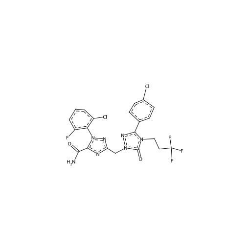 NC(=O)c1nc(Cn2nc(-c3ccc(Cl)cc3)n(CCC(F)(F)F)c2=O)nn1-c1c(F)cccc1Cl